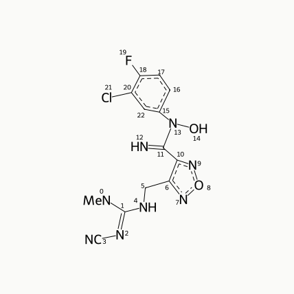 CN/C(=N\C#N)NCc1nonc1C(=N)N(O)c1ccc(F)c(Cl)c1